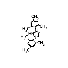 Cc1cc(C)c(N2C=CN(c3c(C)cc(C)cc3C)N2)c(C)c1